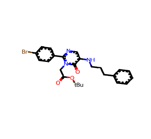 CC(C)(C)OC(=O)Cn1c(-c2ccc(Br)cc2)ncc(NCCCc2ccccc2)c1=O